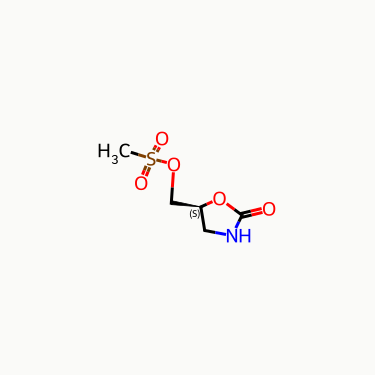 CS(=O)(=O)OC[C@@H]1CNC(=O)O1